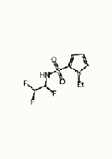 CCn1cccc1S(=O)(=O)NC(F)C(F)F